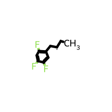 CC[CH]Cc1cc(F)c(F)cc1F